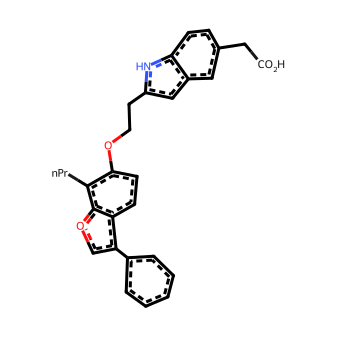 CCCc1c(OCCc2cc3cc(CC(=O)O)ccc3[nH]2)ccc2c(-c3ccccc3)coc12